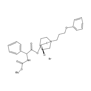 CC(C)(C)OC(=O)NC(C(=O)O[C@H]1C[N+]2(CCCOc3ccccc3)CCC1CC2)c1ccccc1.[Br-]